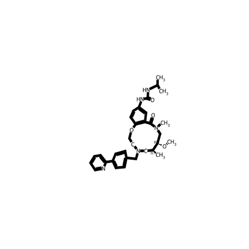 CO[C@H]1CN(C)C(=O)c2cc(NC(=O)NC(C)C)ccc2OCCN(Cc2ccc(-c3ccccn3)cc2)C[C@@H]1C